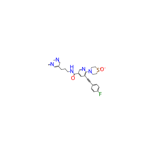 C=N/C=C(\C=N/C)CCCNC(=O)c1cnc(N2CC[S+]([O-])CC2)c(C#Cc2ccc(F)cc2)c1